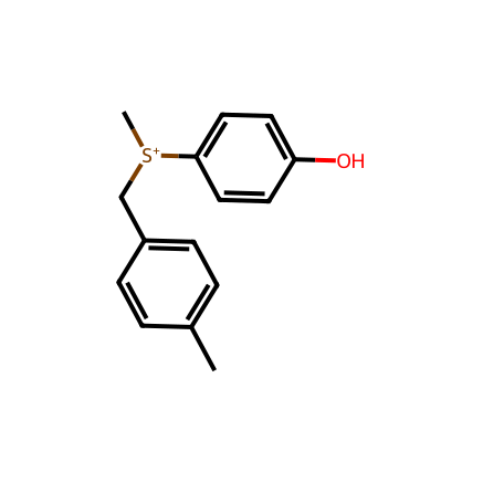 Cc1ccc(C[S+](C)c2ccc(O)cc2)cc1